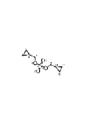 O=S(=O)(OCC1CC1)OCC1CC1